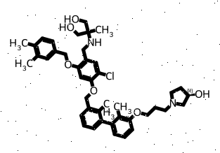 Cc1ccc(COc2cc(OCc3cccc(-c4cccc(OCCCN5CC[C@@H](O)C5)c4C)c3C)c(Cl)cc2CNC(C)(CO)CO)cc1C